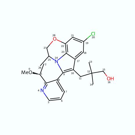 CO[C@@H](C)c1ncccc1-c1c(CC(C)(C)CO)c2cc(Cl)cc3c2n1C(C)CO3